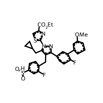 CCOC(=O)c1csc(-n2nc(-c3ccc(F)c(-c4cccc(OC)c4)c3)c(Cc3ccc([SH](=O)=O)cc3F)c2CC2CC2)n1